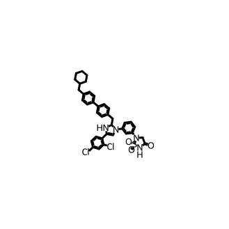 O=C1CN(c2cccc(N3C=C(c4ccc(Cl)cc4Cl)NC3Cc3ccc(-c4ccc(CC5CCCCC5)cc4)cc3)c2)S(=O)(=O)N1